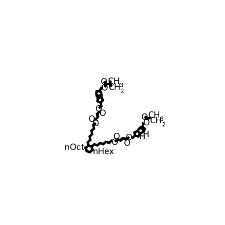 C=C(C)C(=O)OCC1CC2CC1C1CC(COC(=O)/C=C/C(=O)OCCCCCCCC3C(CCCCCCCC)CCC(CCCCCC)C3CCCCCCCOC(=O)/C=C/C(=O)OCC3CC4C5C[C@@H](CC5COC(=O)C(=C)C)[C@H]4C3)CC21